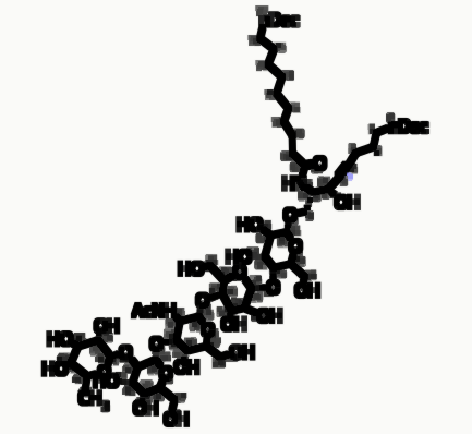 CCCCCCCCCCCCC/C=C/[C@@H](O)[C@H](CO[C@@H]1OC(CO)[C@@H](O[C@@H]2OC(CO)[C@H](O[C@@H]3OC(CO)[C@H](O)[C@H](O[C@@H]4OC(CO)[C@H](O)[C@H](O)C4O[C@H]4OC(C)[C@@H](O)C(O)[C@@H]4O)C3NC(C)=O)[C@H](O)C2O)[C@H](O)C1O)NC(=O)CCCCCCCCCCCCCCCCCCC